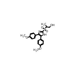 COc1ccc(-c2nc(S(=O)(=O)C(C)CO)[nH]c2-c2ccc(OC)cc2)cc1